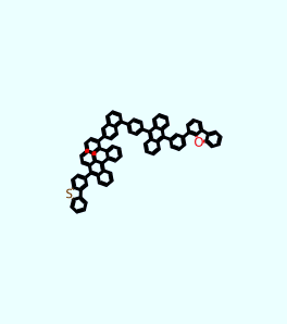 c1cc(-c2c3ccccc3c(-c3ccc(-c4cccc5cc(-c6ccccc6-c6ccccc6-c6c7ccccc7c(-c7ccc8sc9ccccc9c8c7)c7ccccc67)ccc45)cc3)c3ccccc23)cc(-c2cccc3c2oc2ccccc23)c1